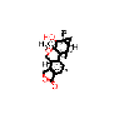 CC(C)[C@]12C[C@H]1[C@@H]1C[C@@]13[C@@]1(C)CCC4=C(COC4=O)[C@@H]1CO[C@]3(C)[C@@H]2O